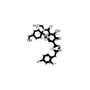 CCN(C(=O)c1[nH]cc(-c2nnc(Cc3ccc(F)cc3F)s2)c(=O)c1O)C1(NC)CCC(CO)CC1